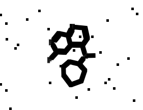 CN(c1ccnc2cnc(F)cc12)C1CCCCCC1